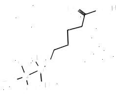 C=C(CCCCO[Si](C)(C)[Si](C)(C)C)C(=O)O